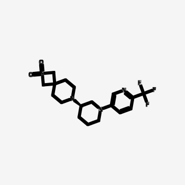 O=S1(=O)CC2(CCN([C@@H]3CCCN(c4ccc(C(F)(F)F)nc4)C3)CC2)C1